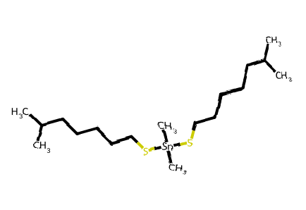 CC(C)CCCCC[S][Sn]([CH3])([CH3])[S]CCCCCC(C)C